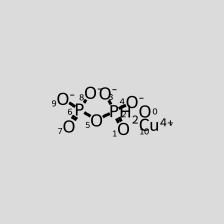 O.O=P([O-])([O-])OP(=O)([O-])[O-].[Cu+4]